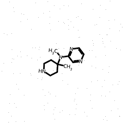 CN(c1cnccn1)C1(C)CCNCC1